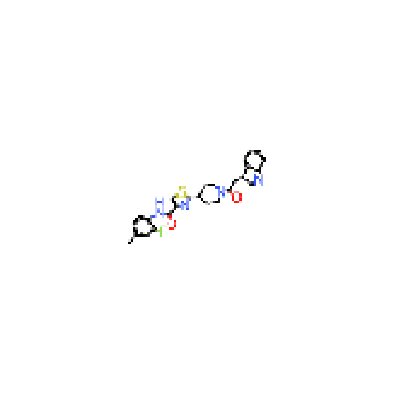 Cc1ccc(NC(=O)c2csc(C3CCN(C(=O)CC4C=Nc5ccccc54)CC3)n2)c(F)c1